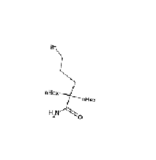 CCCCCCC(CCCBr)(CCCCCC)C(N)=O